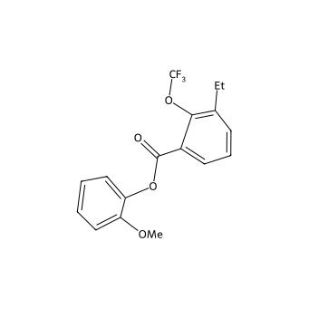 CCc1cccc(C(=O)Oc2ccccc2OC)c1OC(F)(F)F